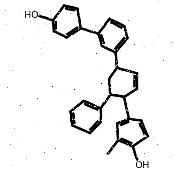 Cc1cc(C2C=CC(c3cccc(-c4ccc(O)cc4)c3)CC2c2ccccc2)ccc1O